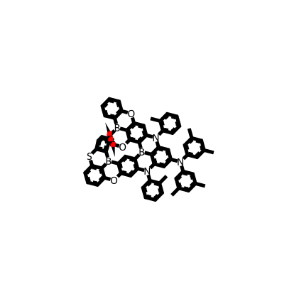 Cc1cc(C)cc(N(c2cc(C)cc(C)c2)c2cc3c4c(c2)N(c2ccccc2C)c2cc5c6c(c2B4c2cc4c(cc2N3c2ccccc2C)Oc2cccc3c2B4c2ccccc2S3)Oc2ccccc2B6c2ccccc2O5)c1